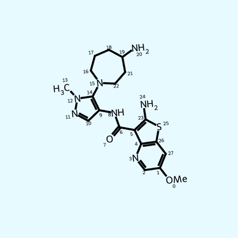 COc1cnc2c(C(=O)Nc3cnn(C)c3N3CCCC(N)CC3)c(N)sc2c1